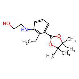 CCc1c(NCCO)cccc1B1OC(C)(C)C(C)(C)O1